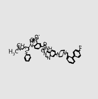 CN(C)CCC(CSc1ccccc1)Nc1ccc(S(=O)(=O)Nc2ncnc3cc(N4CCN(Cc5ccccc5-c5ccc(F)cc5)CC4)ccc23)cc1[N+](=O)[O-]